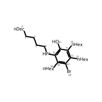 CCCCCCCCCCCCCCPc1c(O)c(CCCCCC)c(CCCCCC)c(Br)c1CCCCCC